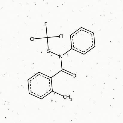 Cc1ccccc1C(=O)N(SC(F)(Cl)Cl)c1ccccc1